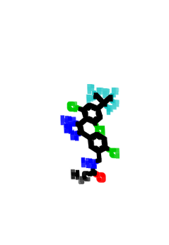 CC(=O)NCc1cc(-c2nn[nH]c2-c2c(Cl)cc(C(F)(C(F)(F)F)C(F)(F)F)cc2Cl)ccc1Cl